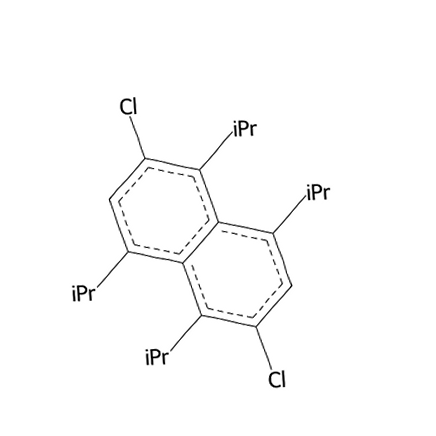 CC(C)c1cc(Cl)c(C(C)C)c2c(C(C)C)cc(Cl)c(C(C)C)c12